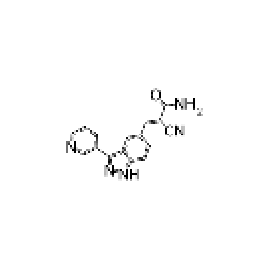 N#C/C(=C\c1ccc2[nH]nc(-c3cccnc3)c2c1)C(N)=O